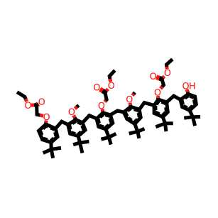 CCOC(=O)COc1ccc(C(C)(C)C)cc1Cc1cc(C(C)(C)C)cc(Cc2cc(C(C)(C)C)cc(Cc3cc(C(C)(C)C)cc(Cc4cc(C(C)(C)C)cc(Cc5cc(C(C)(C)C)ccc5O)c4OCC(=O)OCC)c3OC)c2OCC(=O)OCC)c1OC